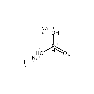 O=[PH](O)O.[H+].[Na+].[Na+]